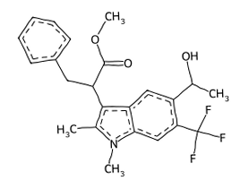 COC(=O)C(Cc1ccccc1)c1c(C)n(C)c2cc(C(F)(F)F)c(C(C)O)cc12